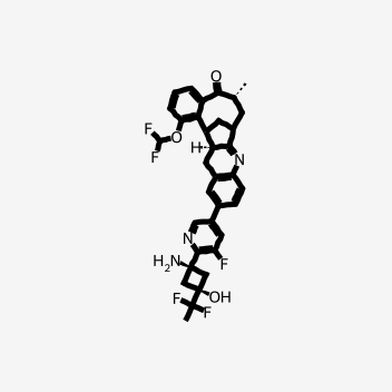 C[C@@H]1CC2CC(c3c(OC(F)F)cccc3C1=O)[C@@H]1Cc3cc(-c4cnc([C@]5(N)C[C@](O)(C(C)(F)F)C5)c(F)c4)ccc3N=C21